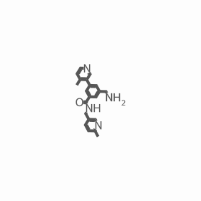 Cc1ccc(CNC(=O)c2cc(CN)cc(-c3cnccc3C)c2)cn1